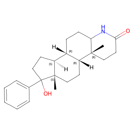 C[C@]12CCC(=O)NC1CC[C@@H]1[C@H]2CC[C@@]2(C)[C@H]1CCC2(O)c1ccccc1